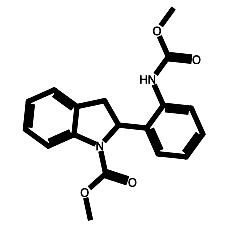 COC(=O)Nc1ccccc1C1Cc2ccccc2N1C(=O)OC